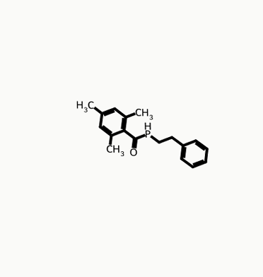 Cc1cc(C)c(C(=O)PCCc2ccccc2)c(C)c1